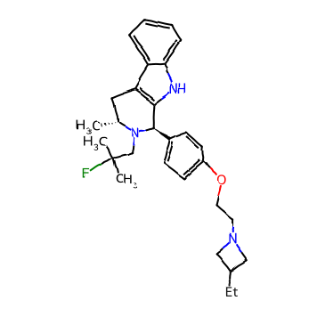 CCC1CN(CCOc2ccc([C@@H]3c4[nH]c5ccccc5c4C[C@@H](C)N3CC(C)(C)F)cc2)C1